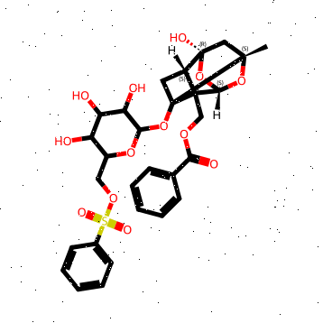 C[C@@]12C[C@@]3(O)O[C@H](O1)C1(COC(=O)c4ccccc4)[C@@H]3CC12OC1OC(COS(=O)(=O)c2ccccc2)C(O)C(O)C1O